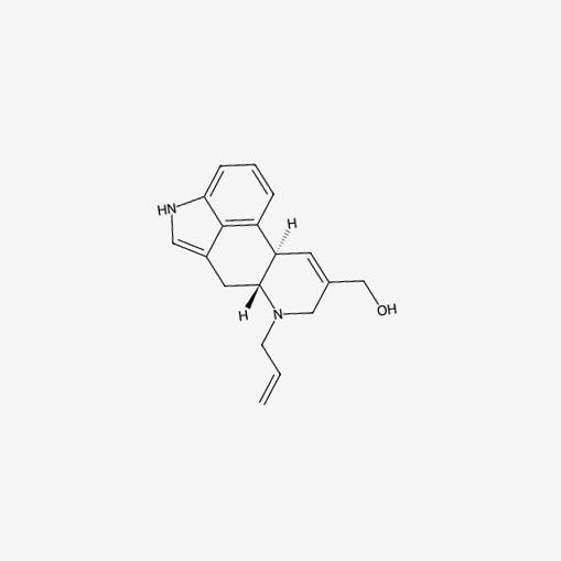 C=CCN1CC(CO)=C[C@@H]2c3cccc4[nH]cc(c34)C[C@H]21